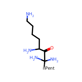 CCCCCC(N)(N)C(=O)C(N)CCCCN